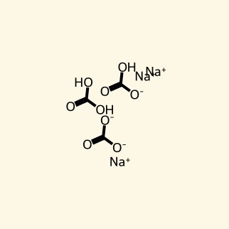 O=C(O)O.O=C([O-])O.O=C([O-])[O-].[Na+].[Na+].[Na+]